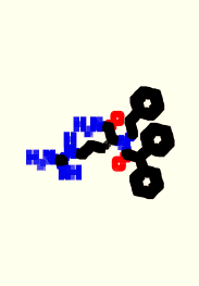 N=C(N)NCCC[C@H](C(N)=O)N(CCc1ccccc1)C(=O)C(c1ccccc1)c1ccccc1